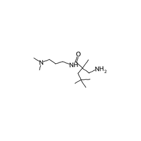 CN(C)CCCNC(=O)C(C)(CN)CC(C)(C)C